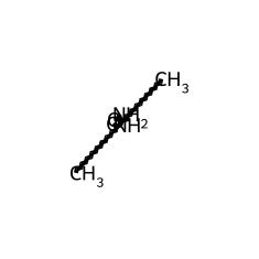 CCCCCCCCCCCCCCCCCC(=O)NC(CCCCCCCCCCCCCCCC)C(N)=O